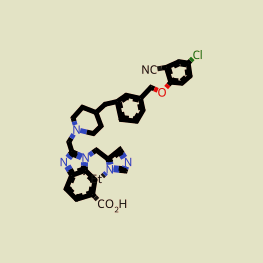 CCn1cncc1Cn1c(CN2CCC(Cc3cccc(COc4ccc(Cl)cc4C#N)c3)CC2)nc2ccc(C(=O)O)cc21